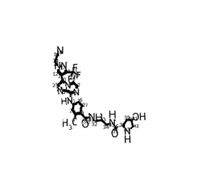 Cc1cc(Nc2nccn3c(-c4cn(CC#N)nc4C(F)(F)F)cnc23)ccc1C(=O)NCCCNC(=O)[C@@H]1C[C@@H](O)CN1